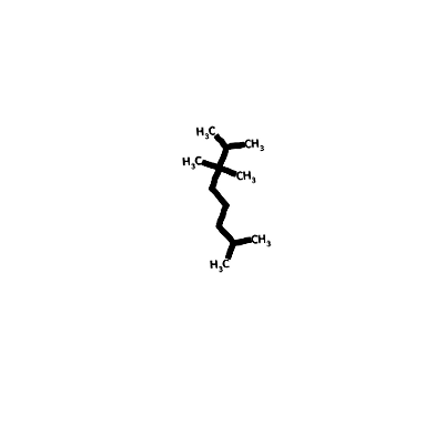 C[C](C)CCCC(C)(C)C(C)C